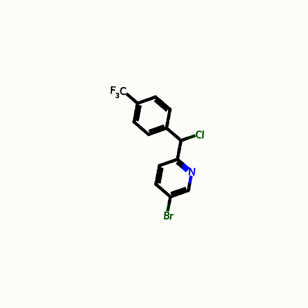 FC(F)(F)c1ccc(C(Cl)c2ccc(Br)cn2)cc1